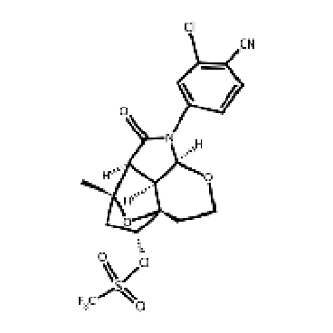 C[C@@]12C[C@@H](OS(=O)(=O)C(F)(F)F)[C@]3(CCO[C@H]4[C@@H]3[C@@H]1C(=O)N4c1ccc(C#N)c(Cl)c1)O2